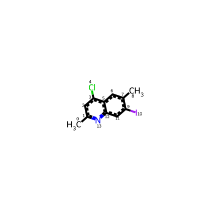 Cc1cc(Cl)c2cc(C)c(I)cc2n1